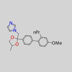 CCCc1cc(OC)ccc1-c1ccc(C2(Cn3ccnc3)OCC(C)O2)cc1